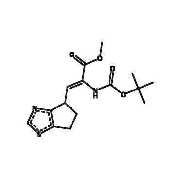 COC(=O)C(=CC1CCc2scnc21)NC(=O)OC(C)(C)C